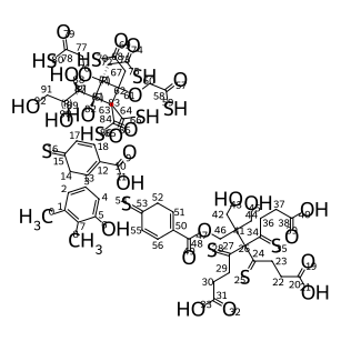 Cc1cccc(O)c1C.O=C(O)C1=CCC(=S)C=C1.O=C(O)CCC(=S)C(C(=S)CCC(=O)O)(C(=S)CCC(=O)O)C(CO)(CO)COC(=O)C1=CCC(=S)C=C1.O=C(S)COC(CC(=O)S)(CC(=O)S)[C@](CC(=O)S)(OCC(=O)S)[C@](O)(CC(=O)S)[C@H](O)[C@H](O)CO